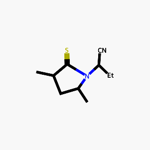 CCC(C#N)N1C(=S)C(C)CC1C